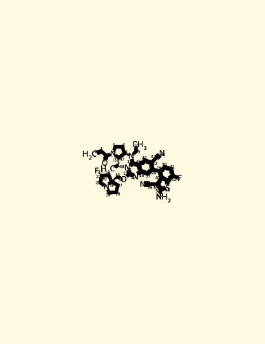 C=CC(=O)N1CC[C@@H](N(CC)c2nc(OC[C@@]34CCCN3C[C@H](F)C4)nc3cc(-c4ccc(F)c5sc(N)c(C#N)c45)c(C#N)cc23)[C@@H]1CC